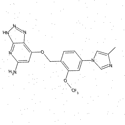 Cc1cn(-c2ccc(COc3cc(N)nc4[nH]nnc34)c(OC(F)(F)F)c2)cn1